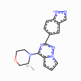 C[C@@H]1COCCN1c1nc(-c2ccc3[nH]ncc3c2)nn2cccc12